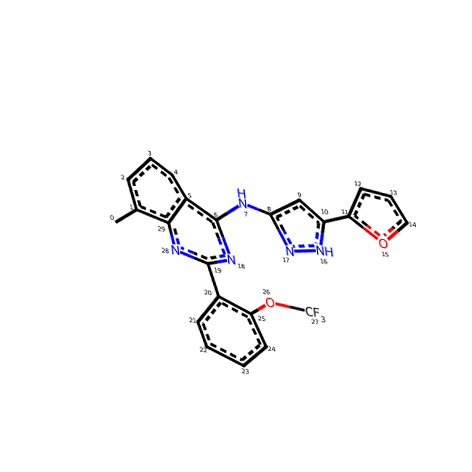 Cc1cccc2c(Nc3cc(-c4ccco4)[nH]n3)nc(-c3ccccc3OC(F)(F)F)nc12